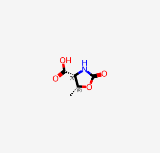 C[C@H]1OC(=O)N[C@H]1C(=O)O